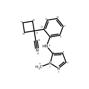 Cn1nccc1Nc1ccccc1C1(C#N)CCC1